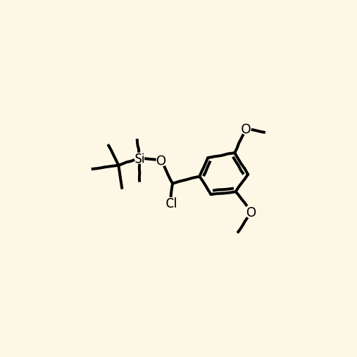 COc1cc(OC)cc(C(Cl)O[Si](C)(C)C(C)(C)C)c1